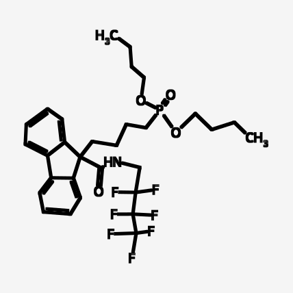 CCCCOP(=O)(CCCCC1(C(=O)NCC(F)(F)C(F)(F)C(F)(F)F)c2ccccc2-c2ccccc21)OCCCC